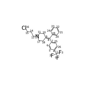 FC(F)(F)c1ccc(C(=C2CCN(CCCCl)CC2)c2ccccc2)cc1